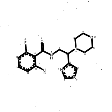 O=C(NCC(c1cscn1)N1CCOCC1)c1c(F)cccc1Cl